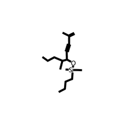 C=C(C)C#CC(O[Si](C)(C)CCCC)C(C)CCC